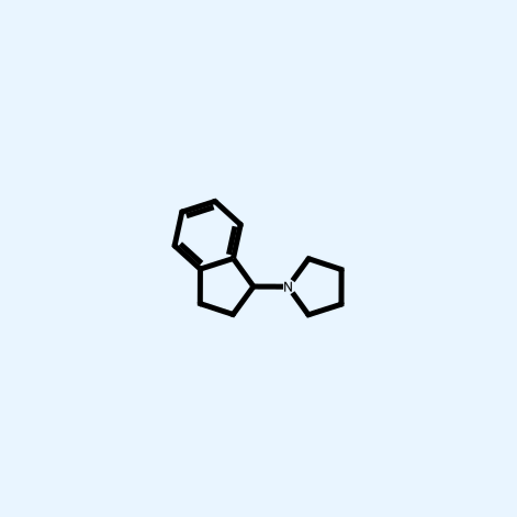 c1ccc2c(c1)CCC2N1CCCC1